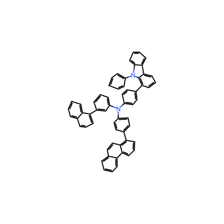 c1ccc(-n2c3ccccc3c3cccc(-c4ccc(N(c5ccc(-c6cccc7c6ccc6ccccc67)cc5)c5cccc(-c6cccc7ccccc67)c5)cc4)c32)cc1